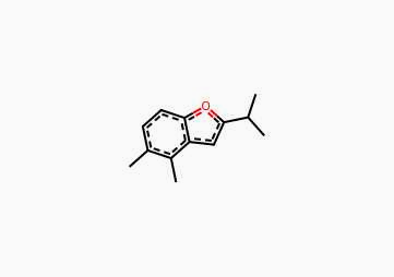 Cc1ccc2oc(C(C)C)cc2c1C